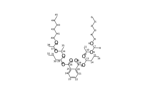 CCCCCCOC(C)OC(C)OC(CCC)OC(=O)c1ccccc1C(=O)OC(CCC)OC(C)OC(C)OCCCCCC